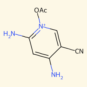 CC(=O)O[n+]1cc(C#N)c(N)cc1N